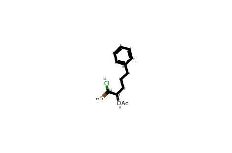 CC(=O)OC(CCCc1ccccc1)C(=S)Cl